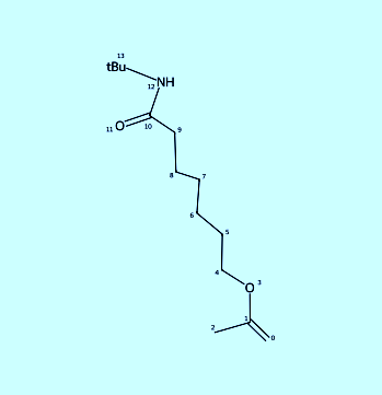 C=C(C)OCCCCCCC(=O)NC(C)(C)C